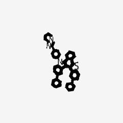 c1ccc(-c2ccc3sc4c5ccccc5c5c(c6cc(-c7ccccc7)ccc6n5-c5ccc(-c6cn7ccccc7n6)cc5)c4c3c2)cc1